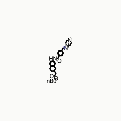 CCCCOC(=O)CC1CCc2ccc(NC(=O)c3ccc(/C=N/N4CCN(C)CC4)cc3)cc2C1